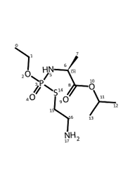 CCOP(=O)(N[C@@H](C)C(=O)OC(C)C)SCCN